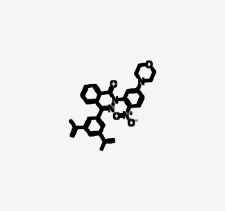 C=C(C)c1cc(C(=C)C)cc(-c2nn(-c3cc(N4CCOCC4)ccc3[N+](=O)[O-])c(=O)c3ccccc23)c1